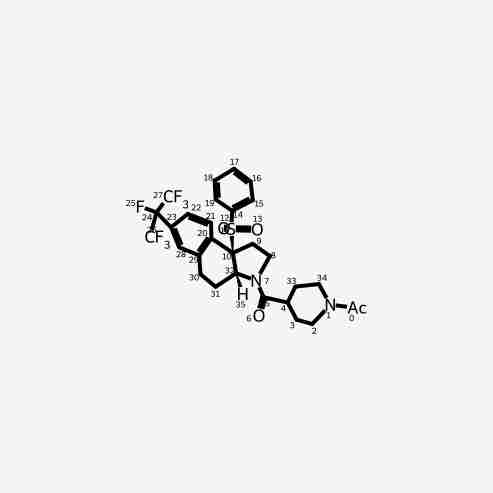 CC(=O)N1CCC(C(=O)N2CC[C@@]3(S(=O)(=O)c4ccccc4)c4ccc(C(F)(C(F)(F)F)C(F)(F)F)cc4CC[C@@H]23)CC1